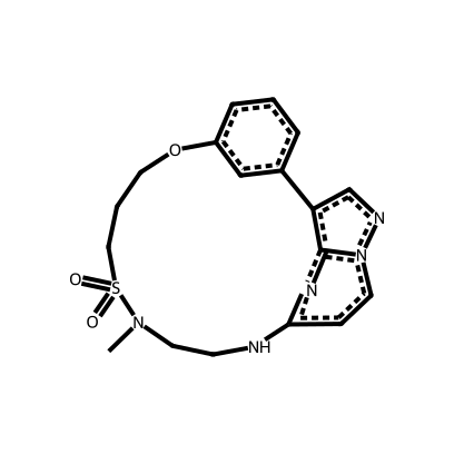 CN1CCNc2ccn3ncc(c3n2)-c2cccc(c2)OCCCS1(=O)=O